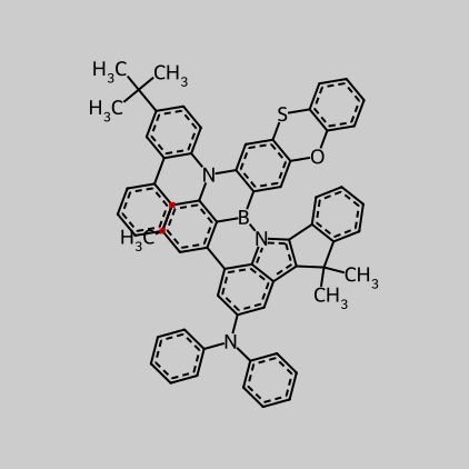 Cc1cc2c3c(c1)N(c1ccc(C(C)(C)C)cc1-c1ccccc1)c1cc4c(cc1B3n1c3c(c5cc(N(c6ccccc6)c6ccccc6)cc-2c51)C(C)(C)c1ccccc1-3)Oc1ccccc1S4